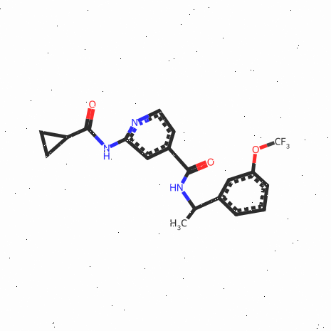 CC(NC(=O)c1ccnc(NC(=O)C2CC2)c1)c1cccc(OC(F)(F)F)c1